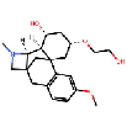 COc1ccc2c(c1)[C@@]13C[C@@H](OCCO)C[C@@H](O)[C@@H]1[C@@H]1N(C)CC1(C2)C3